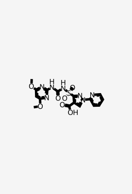 COc1cc(OC)nc(NC(=O)NS(=O)(=O)c2nn(-c3ccccn3)cc2C(=O)O)n1